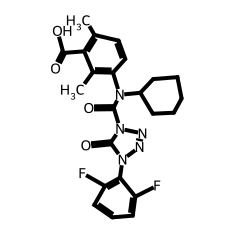 Cc1ccc(N(C(=O)n2nnn(-c3c(F)cccc3F)c2=O)C2CCCCC2)c(C)c1C(=O)O